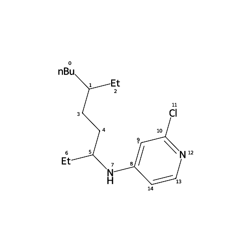 CCCCC(CC)CCC(CC)Nc1[c]c(Cl)ncc1